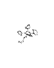 O=C(O)COc1nc(-c2ccccc2)c(-c2ccccc2)n1-c1ccccc1